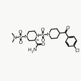 CN(C)S(=O)(=O)N1CCN(S(=O)(=O)N2CCC(C(=O)c3ccc(Cl)cc3)CC2)[C@@H](C(N)=O)C1